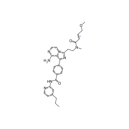 CCCc1ccnc(NC(=O)c2ccc(-c3nc(CCN(C)C(=O)/C=C/COC)n4ccnc(N)c34)cc2)c1